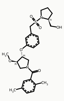 CO[C@@H]1CN(C(=O)c2cc(C)ccc2C)C[C@H]1Oc1cccc(CS(=O)(=O)N2CCC[C@H]2CO)c1